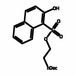 CCCCCCCCCCCCOS(=O)(=O)c1c(O)ccc2ccccc12